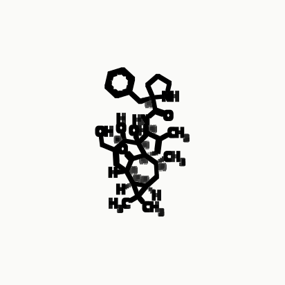 CC1=C[C@]23C(=O)[C@@H](C=C(CO)[C@@H](O)[C@]2(O)[C@H]1NC(=O)[C@]1(Cc2ccccc2)CCCN1)[C@H]1[C@@H](C[C@H]3C)C1(C)C